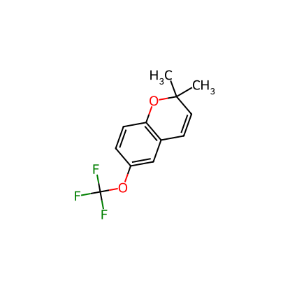 CC1(C)C=Cc2cc(OC(F)(F)F)ccc2O1